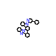 c1ccc(-c2ccnc(-n3c4ccccc4c4c3ccc3c5ccccc5c5nc6ccccc6n5c34)c2)cc1